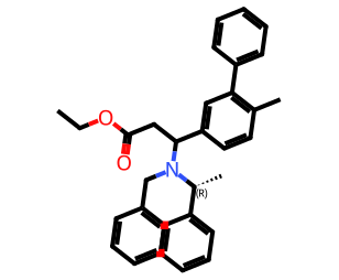 CCOC(=O)CC(c1ccc(C)c(-c2ccccc2)c1)N(Cc1ccccc1)[C@H](C)c1ccccc1